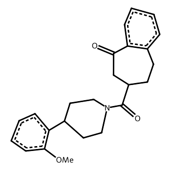 COc1ccccc1C1CCN(C(=O)C2CCc3ccccc3C(=O)C2)CC1